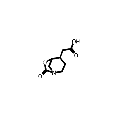 O=C(O)CC1CCN2CC1OC2=O